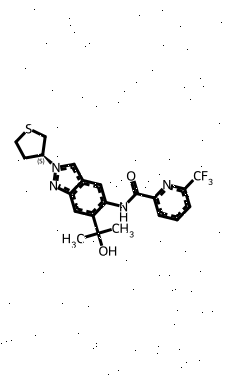 CC(C)(O)c1cc2nn([C@H]3CCSC3)cc2cc1NC(=O)c1cccc(C(F)(F)F)n1